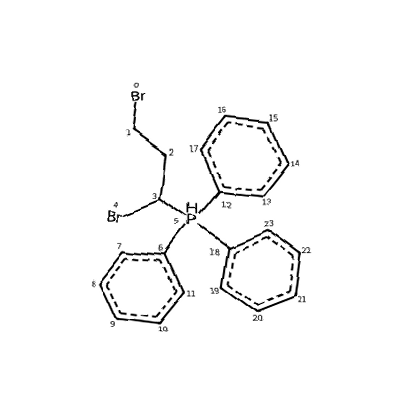 BrCCC(Br)[PH](c1ccccc1)(c1ccccc1)c1ccccc1